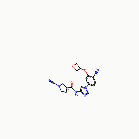 N#Cc1ccc(-n2cnc(NC(=O)[C@H]3CCN(C#N)C3)c2)cc1OC1COC1